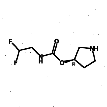 O=C(NCC(F)F)O[C@@H]1CCNC1